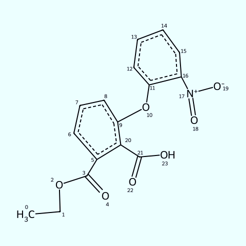 CCOC(=O)c1cccc(Oc2ccccc2[N+](=O)[O-])c1C(=O)O